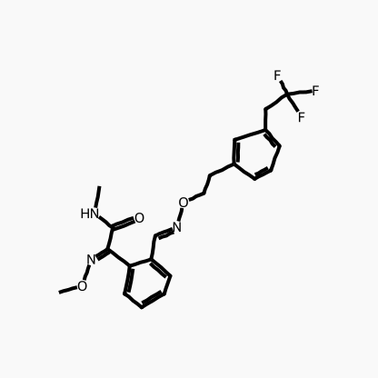 CNC(=O)/C(=N/OC)c1ccccc1/C=N/OCCc1cccc(CC(F)(F)F)c1